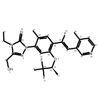 CCn1c(CO)nn(-c2cc(O[C@@H](C)C(C)(F)F)c(/C(F)=C/c3cnccc3C)cc2C)c1=O